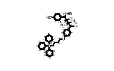 CCNC(c1ccc(O)cc1)C(C)(C)C(C)(C)C(c1ccc(OCCCC[PH](c2ccccc2)(c2ccccc2)c2ccccc2)cc1)C(C)C